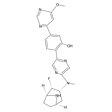 COc1cc(-c2ccc(-c3cnc(N(C)[C@@H]4C[C@H]5CC[C@H](N5)[C@@H]4F)cn3)c(O)c2)ncn1